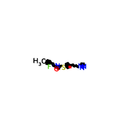 Cc1ccc(/C=C/c2nc(CSc3ccc(CCCCn4ccnn4)cc3)co2)c(F)c1